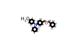 Cc1ccc(N(c2ccccc2)c2ccc(COCc3ccccc3)cc2)cc1